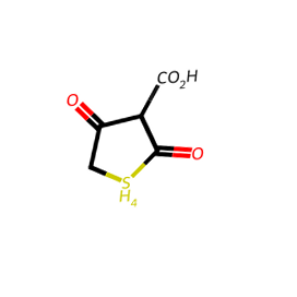 O=C(O)C1C(=O)C[SH4]C1=O